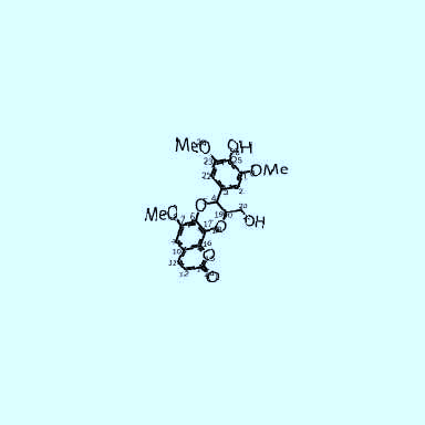 COc1cc(C2Oc3c(OC)cc4ccc(=O)oc4c3O[C@@H]2CO)cc(OC)c1O